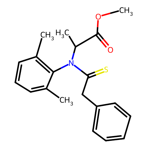 COC(=O)C(C)N(C(=S)Cc1ccccc1)c1c(C)cccc1C